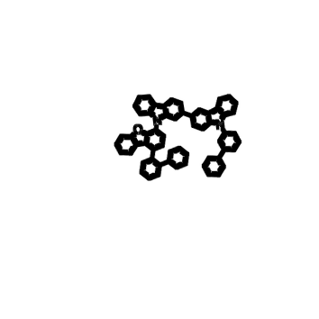 c1ccc(-c2cccc(-n3c4ccccc4c4cc(-c5ccc6c7ccccc7n(-c7ccc(-c8ccccc8-c8ccccc8)c8c7oc7ccccc78)c6c5)ccc43)c2)cc1